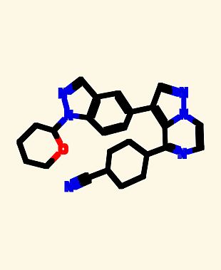 N#CC1CCC(c2nccn3ncc(-c4ccc5c(cnn5C5CCCCO5)c4)c23)CC1